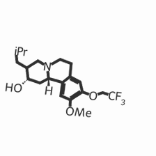 COc1cc2c(cc1OCC(F)(F)F)CCN1CC(CC(C)C)[C@@H](O)C[C@@H]21